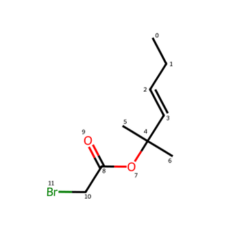 CCC=CC(C)(C)OC(=O)CBr